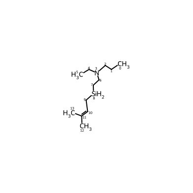 CCCN(CC)CC[SiH2]CC=C(C)C